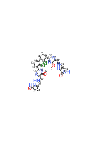 COc1nc(-c2cccc(-c3cccc(-c4cnc(CNC[C@@H]5CCC(=O)N5)c(OC)n4)c3Cl)c2Cl)cnc1CNC[C@H]1CNC(=O)C1